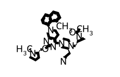 CC(=O)N1C[C@@H]1CN1CCN(c2nc(OC[C@@H]3CCCN3C)nc3c2CCN(c2cccc4cccc(C)c24)C3)C[C@@H]1CC#N